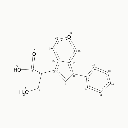 CCC(C(=O)O)c1cc(-c2ccccc2)c2coccc1-2